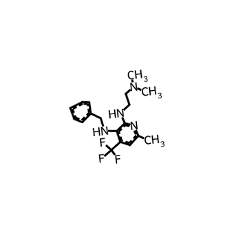 Cc1cc(C(F)(F)F)c(NCc2ccccc2)c(NCCN(C)C)n1